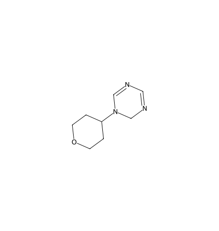 C1=NC=NCN1C1CCOCC1